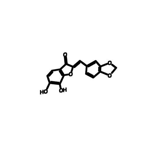 O=C1C(=Cc2ccc3c(c2)OCO3)Oc2c1ccc(O)c2O